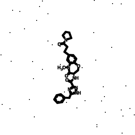 CN1C(=O)[C@@H](NC(=O)c2n[nH]c(Cc3ccccc3)n2)COc2ccc(CCC(=O)N3CCCC3)cc21